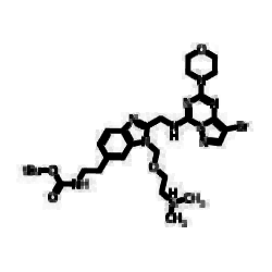 C[SiH](C)CCOCn1c(CNc2nc(N3CCOCC3)nc3c(Br)cnn23)nc2ccc(CCNC(=O)OC(C)(C)C)cc21